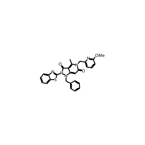 COc1cccc(Cn2c(C)c3c(=O)n(-c4nc5ccccc5s4)n(Cc4ccccc4)c3cc2=O)n1